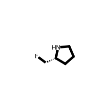 FC[C@H]1CCCN1